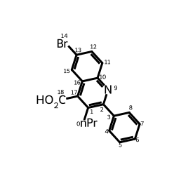 CCCc1c(-c2ccccc2)nc2ccc(Br)cc2c1C(=O)O